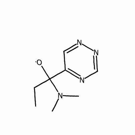 CCC([O])(c1cnncn1)N(C)C